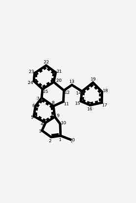 [CH2]C1=CCc2ccc3c(c2C1)CC(Cc1ccccc1)c1ccccc1-3